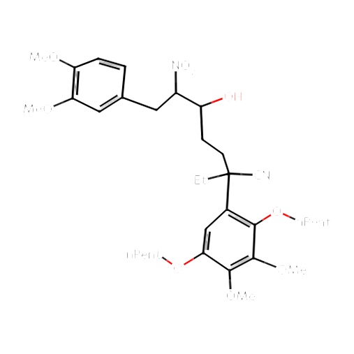 CCCCCOc1cc(C(C#N)(CC)CCC(O)C(Cc2ccc(OC)c(OC)c2)[N+](=O)[O-])c(OCCCCC)c(OC)c1OC